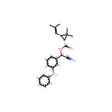 CC(C)=C[C@@H]1[C@@H](C(=O)OC(C#N)c2cccc(Oc3ccccc3)c2)C1(C)C